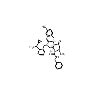 CC(C1CC1)C1CC=CC=C1CN1C[C@H]2N(C(=O)CN(C)N2C(=O)NCc2ccccc2)[C@@H](Cc2ccc(O)cc2)C1=O